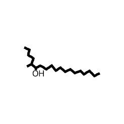 CCCCCCCCCCCCCC(O)C(C)CCCC